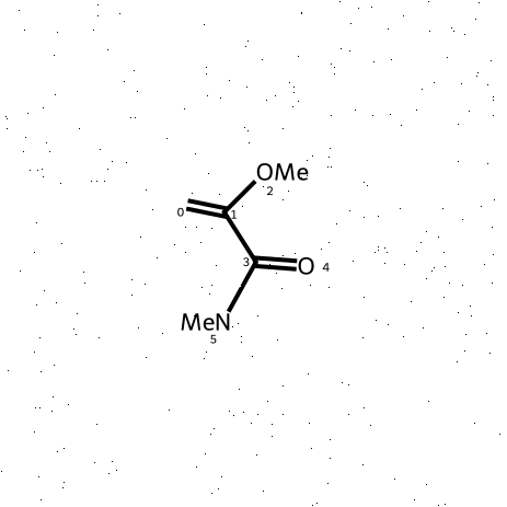 C=C(OC)C(=O)NC